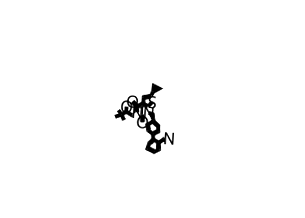 CC(C)(C)C(O)Cn1c(=O)c2cc(C3CC3)sc2n(Cc2ccc(-c3ccccc3C#N)cc2)c1=O